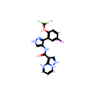 O=C(Nc1c[nH]nc1-c1cc(I)ccc1OC(F)F)c1cnn2cccnc12